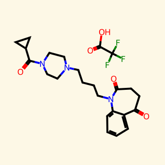 O=C(O)C(F)(F)F.O=C1CCC(=O)N(CCCCN2CCN(C(=O)C3CC3)CC2)c2ccccc21